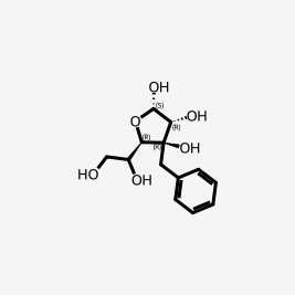 OCC(O)[C@H]1O[C@H](O)[C@H](O)[C@]1(O)Cc1ccccc1